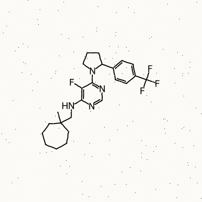 CC1(CNc2ncnc(N3CCCC3c3ccc(C(F)(F)F)cc3)c2F)CCCCCC1